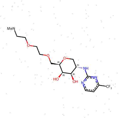 CNCCOCCOC[C@H]1OC[C@H](Nc2nccc(C(F)(F)F)n2)[C@@H](O)[C@H]1O